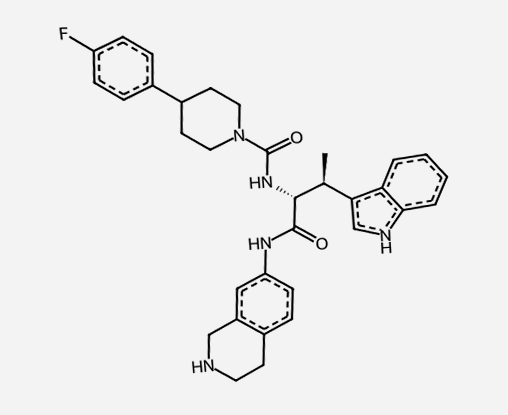 C[C@@H](c1c[nH]c2ccccc12)[C@@H](NC(=O)N1CCC(c2ccc(F)cc2)CC1)C(=O)Nc1ccc2c(c1)CNCC2